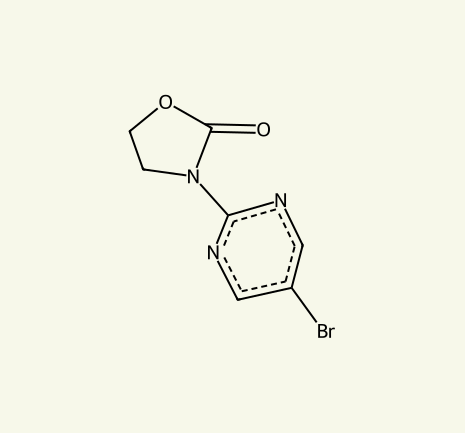 O=C1OCCN1c1ncc(Br)cn1